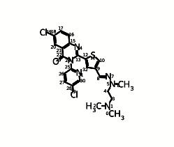 CN(C)CCN(C)N=Cc1csc(-c2nc3ccc(Cl)cc3c(=O)n2-c2ccc(Cl)cn2)c1